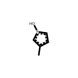 Cc1ccp(O)c1